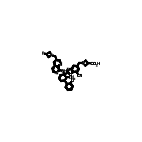 CC1C(c2ccccc2Cl)=CC=CC1(Nc1nccc2cc(CN3CC(F)C3)cnc12)c1nc2cc(CN3CC(C(=O)O)C3)cc(C#N)c2o1